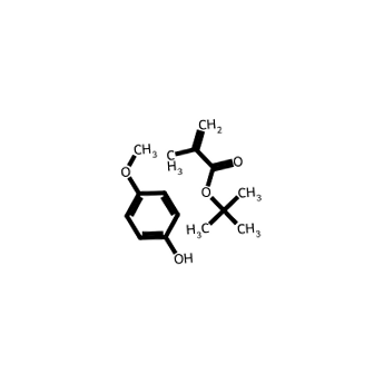 C=C(C)C(=O)OC(C)(C)C.COc1ccc(O)cc1